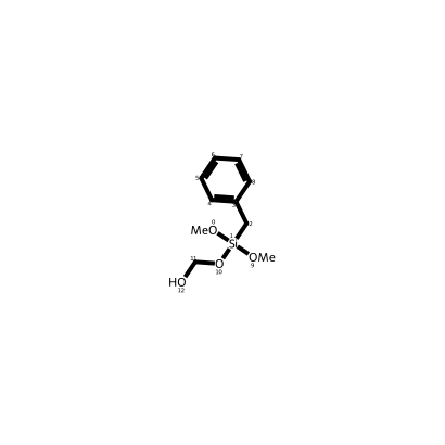 CO[Si](Cc1ccccc1)(OC)OCO